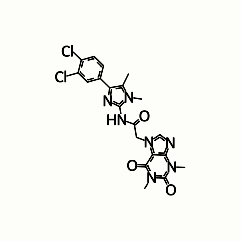 Cc1c(-c2ccc(Cl)c(Cl)c2)nc(NC(=O)Cn2cnc3c2c(=O)n(C)c(=O)n3C)n1C